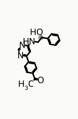 CC(=O)c1ccc(-c2cc(NC[C@H](O)c3ccccc3)ncn2)cc1